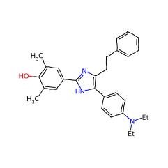 CCN(CC)c1ccc(-c2[nH]c(-c3cc(C)c(O)c(C)c3)nc2CCc2ccccc2)cc1